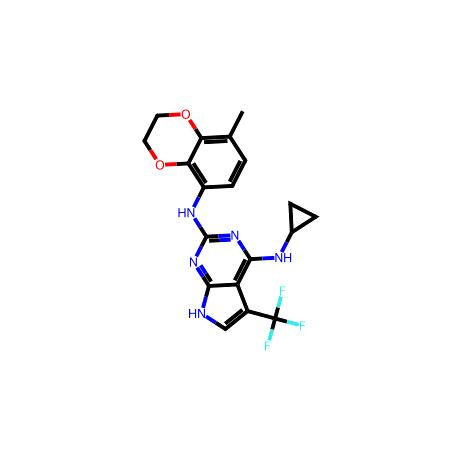 Cc1ccc(Nc2nc(NC3CC3)c3c(C(F)(F)F)c[nH]c3n2)c2c1OCCO2